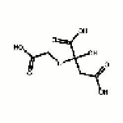 O=C(O)COC(O)(CC(=O)O)C(=O)O